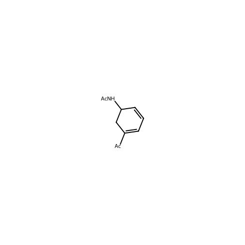 CC(=O)NC1C=CC=C(C(C)=O)C1